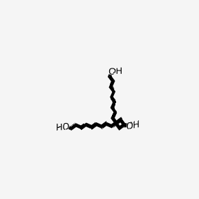 OCCCCCCCCCC1(CCCCCCCCCO)CC(O)C1